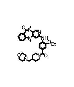 CCOc1cc(C(=O)N2CCC(CN3CCOCC3)CC2)ccc1Nc1cc2c(cn1)N(C)C(=O)c1ccccc1N2C